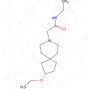 CCNC(=O)CN1CCC2(CC[C@H](OCC)C2)CC1